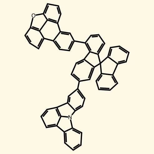 c1ccc2c(c1)-c1ccccc1C21c2cc(-c3ccc4c(c3)c3cccc5c6ccccc6n4c53)ccc2-c2c(-c3ccc4c(c3)c3cccc5oc6cccc4c6c53)cccc21